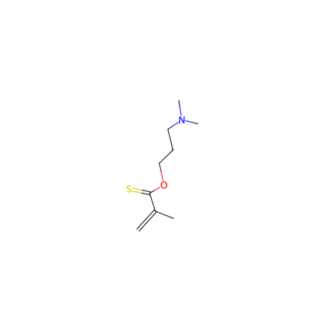 C=C(C)C(=S)OCCCN(C)C